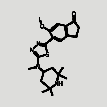 CN(c1nnc(-c2cc3c(cc2OI)C(=O)CC3)s1)C1CC(C)(C)NC(C)(C)C1